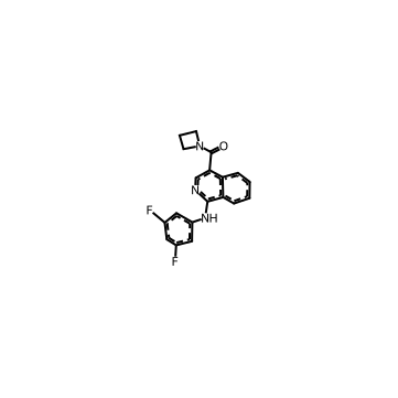 O=C(c1cnc(Nc2cc(F)cc(F)c2)c2ccccc12)N1CCC1